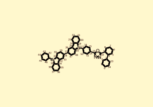 c1ccc(-c2ccccc2-c2nnc(-c3ccc(-n4c5ccccc5c5cc(-c6ccc7c(c6)c6ccccc6n7-c6ccccc6)ccc54)cc3)o2)cc1